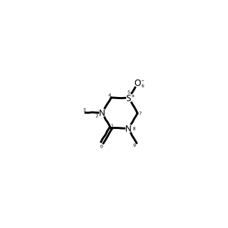 C=C1N(C)C[S+]([O-])CN1C